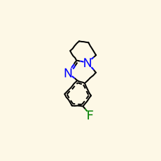 Fc1ccc2c(c1)CN1CCCCC1=N2